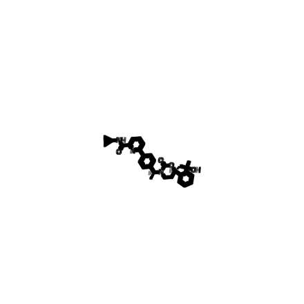 C[C@@H](c1ccc(-c2cccc(C(=O)NC3CC3)n2)cc1)N1CC[C@](CC(C)(C)O)(c2ccccc2)OC1=O